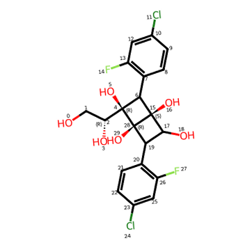 OC[C@@H](O)[C@]1(O)C(c2ccc(Cl)cc2F)[C@]2(O)C(O)C(c3ccc(Cl)cc3F)[C@@]21O